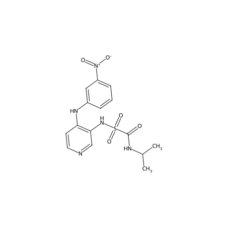 CC(C)NC(=O)S(=O)(=O)Nc1cnccc1Nc1cccc([N+](=O)[O-])c1